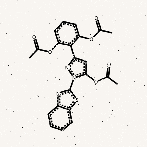 CC(=O)Oc1cccc(OC(C)=O)c1-c1cc(OC(C)=O)n(-c2nc3ccccc3s2)n1